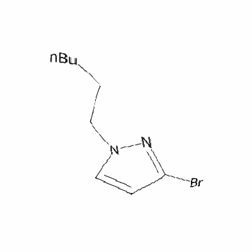 CCCCCCn1ccc(Br)n1